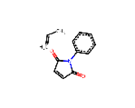 C=CC.O=C1C=CC(=O)N1c1ccccc1